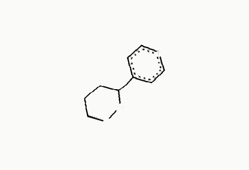 b1ccc(C2CCCSO2)cc1